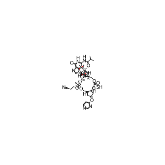 CC(C)C(=O)Nc1nc2c(ncn2[C@@H]2O[C@@H]3CO[P@@](=O)(S)O[C@H]4C[C@H](Oc5ccncn5)C[C@@H]4CO[P@](=S)(OCCC#N)O[C@@H]2[C@@H]3O[Si](C)(C)C(C)(C)C)c(=O)[nH]1